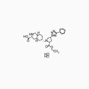 CCOC(=O)[C@@H]1C[C@H](n2nnc(-c3ccccc3)n2)CN1C[C@H]1CC[C@H]2CN[C@H](C(=O)O)C[C@H]2C1.Cl.Cl